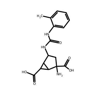 Cc1ccccc1NC(=O)NC1CC(N)(C(=O)O)C2C(C(=O)O)C12